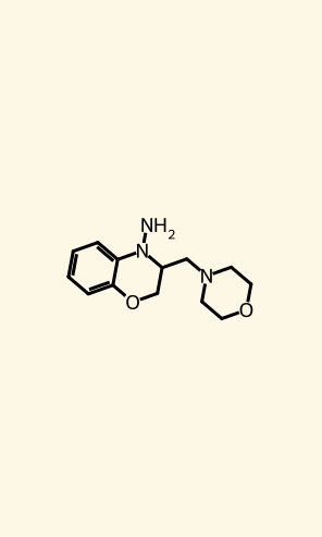 NN1c2ccccc2OCC1CN1CCOCC1